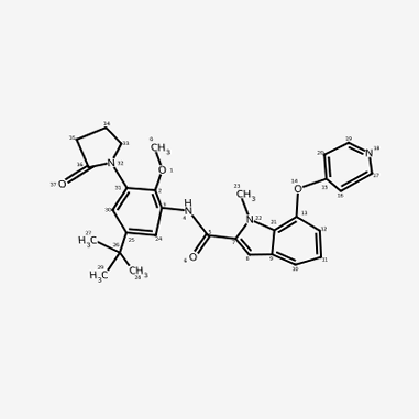 COc1c(NC(=O)c2cc3cccc(Oc4ccncc4)c3n2C)cc(C(C)(C)C)cc1N1CCCC1=O